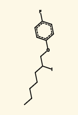 CCCCCC(I)COc1ccc(F)cc1